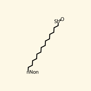 CCCCCCCCCCCCCCCCCCCCCC[CH2][Sb]=[O]